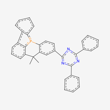 CC1(C)c2cc(-c3nc(-c4ccccc4)nc(-c4ccccc4)n3)ccc2-p2c3ccccc3c3cccc1c32